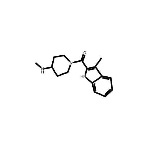 CNC1CCN(C(=O)c2[nH]c3ccccc3c2C)CC1